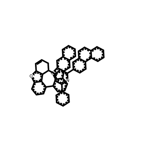 C1=Cc2oc3cccc(-c4cccc5c4oc4cc6ccccc6cc45)c3c2C(c2nc(-c3ccccc3)nc(-c3ccc4c(ccc5ccccc54)c3)n2)C1